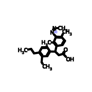 CCCc1ccc(C(CC(=O)O)c2ccc(C)c(/N=N\C)c2C)cc1CC